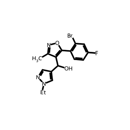 CCn1cc(C(O)c2c(C)noc2-c2ccc(F)cc2Br)cn1